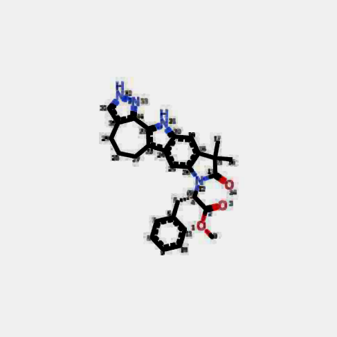 COC(=O)[C@H](Cc1ccccc1)N1C(=O)C(C)(C)c2cc3[nH]c4c(c3cc21)CCCc1c[nH]nc1-4